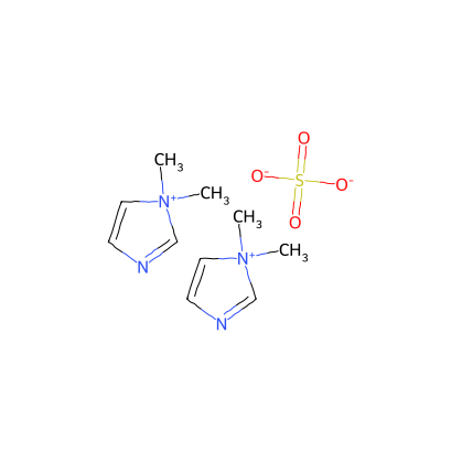 C[N+]1(C)C=CN=C1.C[N+]1(C)C=CN=C1.O=S(=O)([O-])[O-]